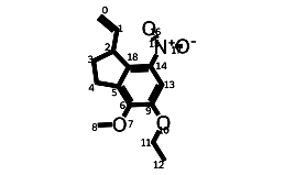 C=CC1CCc2c(OC)c(OCC)cc([N+](=O)[O-])c21